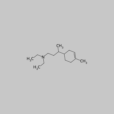 CCN(CC)CCC(C)C1CC=C(C)CC1